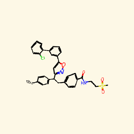 CC(C)(C)c1ccc(C(Cc2ccc(C(=O)NCCS(C)(=O)=O)cc2)c2cc(-c3cccc(-c4ccccc4Cl)c3)on2)cc1